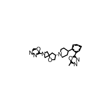 Cc1nnc(-c2ccccc2C2CCN([C@@H]3COC4(C3)CN(c3nnco3)C4)CC2)o1